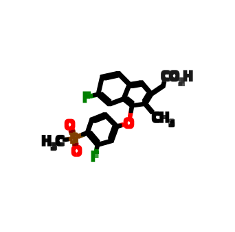 Cc1c(CC(=O)O)cc2ccc(F)cc2c1Oc1ccc(S(C)(=O)=O)c(F)c1